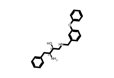 N[C@@H](Cc1ccccc1)[C@@H](O)CNCc1cccc(Oc2ccccc2)c1